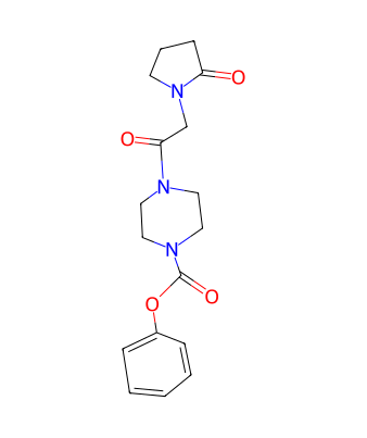 O=C(CN1CCCC1=O)N1CCN(C(=O)Oc2ccccc2)CC1